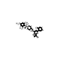 Cc1cc(C)c(S(=O)(=O)N2CCC(CNc3cc(-c4ccccc4Cl)nc4c(Br)cnn34)CC2)c(C)c1